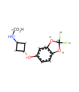 O=C(O)N[C@H]1C[C@H](Oc2ccc3c(c2)OC(F)(F)O3)C1